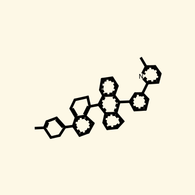 CC1=CC=C(c2cccc3c2=CCCC=3c2c3ccccc3c(-c3cccc(-c4cccc(C)n4)c3)c3ccccc23)CC1